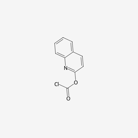 O=C(Cl)Oc1ccc2ccccc2n1